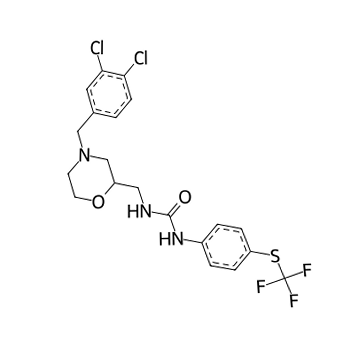 O=C(NCC1CN(Cc2ccc(Cl)c(Cl)c2)CCO1)Nc1ccc(SC(F)(F)F)cc1